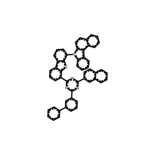 c1ccc(-c2cccc(-c3nc(-c4ccc5ccccc5c4)nc(-c4cccc5c4sc4c(-n6c7ccccc7c7c8ccccc8ccc76)cccc45)n3)c2)cc1